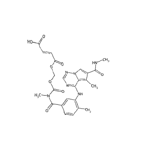 CNC(=O)c1cn2ncnc(Nc3cc(C(=O)N(C)C(=O)OCOC(=O)/C=C/C(=O)O)ccc3C)c2c1C